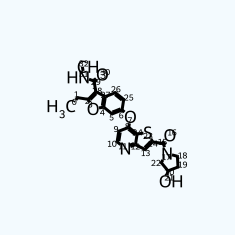 CCc1oc2cc(Oc3ccnc4cc(C(=O)N5CCC(O)C5)sc34)ccc2c1C(=O)NC